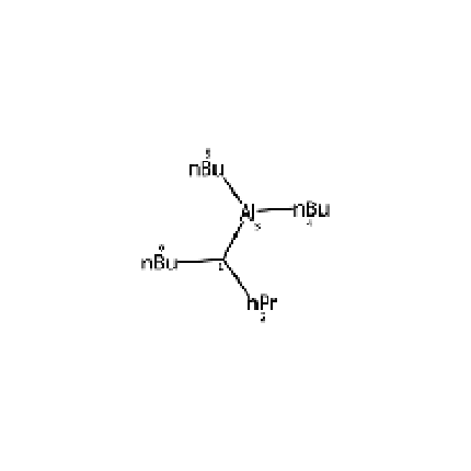 CCCC[CH](CCC)[Al]([CH2]CCC)[CH2]CCC